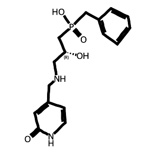 O=c1cc(CNC[C@@H](O)CP(=O)(O)Cc2ccccc2)cc[nH]1